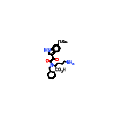 COc1ccc2c(C(=O)C(=O)N(CC3CCCCC3)[C@H](CCCN)C(=O)O)c[nH]c2c1